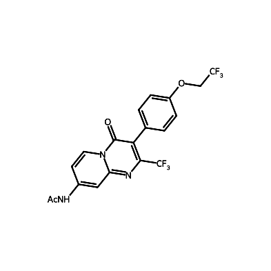 CC(=O)Nc1ccn2c(=O)c(-c3ccc(OCC(F)(F)F)cc3)c(C(F)(F)F)nc2c1